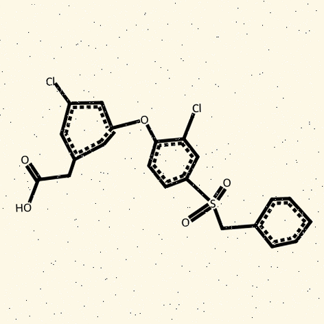 O=C(O)Cc1cc(Cl)cc(Oc2ccc(S(=O)(=O)Cc3ccccc3)cc2Cl)c1